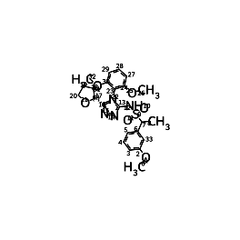 COc1cccc(C(C)S(=O)(=O)Nc2nnc([C@H]3CCCO3)n2-c2c(OC)cccc2OC)c1